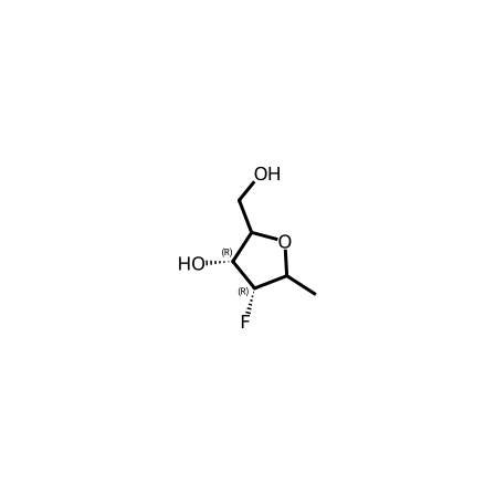 CC1OC(CO)[C@@H](O)[C@H]1F